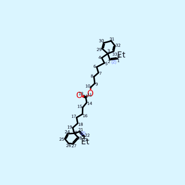 CC/C=C\C1(CCCCCCCOC(=O)CCCCCCC2(/C=C\CC)C=CCC=C2)C=CCC=C1